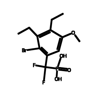 CCc1c(OC)cc(C(F)(F)P(=O)(O)O)c(Br)c1CC